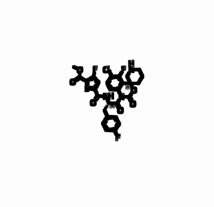 COC(=O)c1sc(C(=O)N[C@@H](Cc2ccc(F)cc2)C(=O)N2C(=O)O[C@]3(CCCNC3)c3c2ccc(Cl)c3F)cc1F